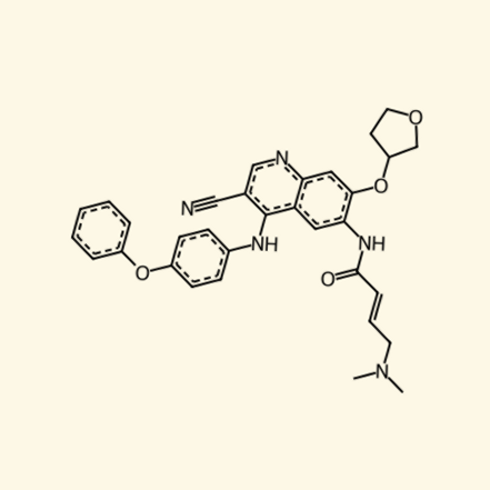 CN(C)CC=CC(=O)Nc1cc2c(Nc3ccc(Oc4ccccc4)cc3)c(C#N)cnc2cc1OC1CCOC1